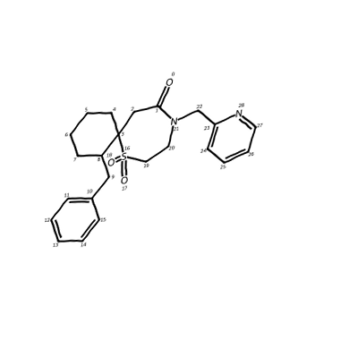 O=C1CC2(CCCCC2Cc2ccccc2)S(=O)(=O)CCN1Cc1ccccn1